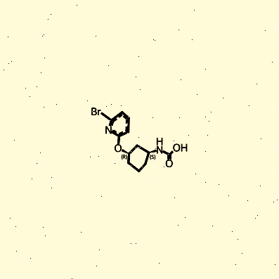 O=C(O)N[C@H]1CCC[C@@H](Oc2cccc(Br)n2)C1